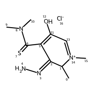 CC1C(=NN)C(C(=S)N(C)C)=C(O)C=[N+]1C.[Cl-]